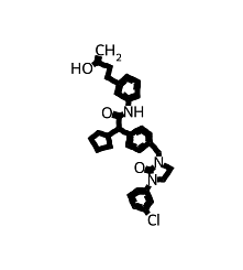 C=C(O)CCc1cccc(NC(=O)C(c2ccc(CN3CCN(c4cccc(Cl)c4)C3=O)cc2)C2CCCC2)c1